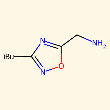 CCC(C)c1noc(CN)n1